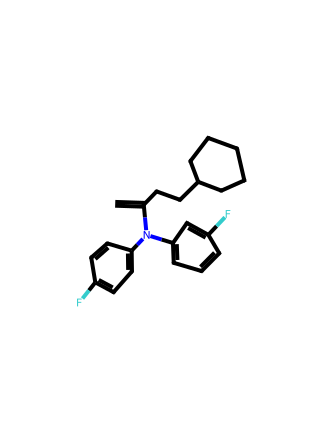 C=C(CCC1CCCCC1)N(c1ccc(F)cc1)c1cccc(F)c1